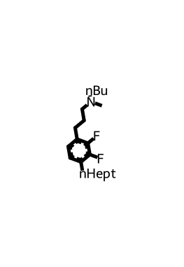 CCCCCCCc1ccc(CCCN(C)CCCC)c(F)c1F